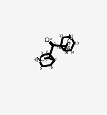 O=C(C1CN2CCC1CC2)C1CN2CCC1CC2